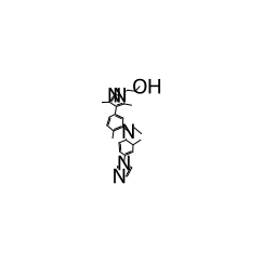 CCN(c1cc(-c2c(C)nn(CCO)c2C)ccc1C)C1C=CC(n2ccnc2)=CC1C